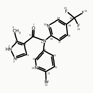 Cc1[nH]ncc1C(=O)N(c1ccc(Br)nc1)c1ccc(C(F)(F)F)cn1